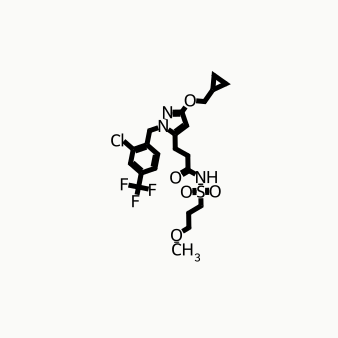 COCCCS(=O)(=O)NC(=O)CCc1cc(OCC2CC2)nn1Cc1ccc(C(F)(F)F)cc1Cl